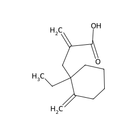 C=C(CC1(CC)CCCCC1=C)C(=O)O